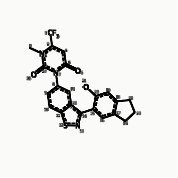 Cn1c(C(F)(F)F)cc(=O)n(-c2ccc3snc(-c4cc5c(cc4[O])CCC5)c3c2)c1=O